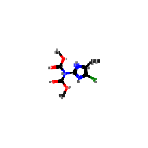 CC(C)(C)OC(=O)N(C(=O)OC(C)(C)C)c1nc(Br)c(C(=O)O)[nH]1